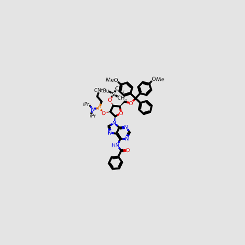 COc1ccc(C(OC[C@H]2O[C@@H](n3cnc4c(NC(=O)c5ccccc5)ncnc43)[C@H](OP(CCC#N)N(C(C)C)C(C)C)[C@@H]2O[Si](C)(C)C(C)(C)C)(c2ccccc2)c2ccc(OC)cc2)cc1